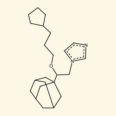 c1cn(CC(OCCCC2CCCC2)C23CC4CC(CC(C4)C2)C3)cn1